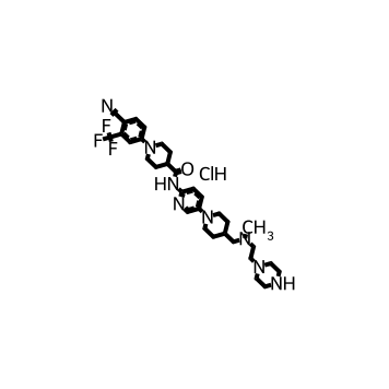 CN(CCN1CCNCC1)CC1CCN(c2ccc(NC(=O)C3CCN(c4ccc(C#N)c(C(F)(F)F)c4)CC3)nc2)CC1.Cl